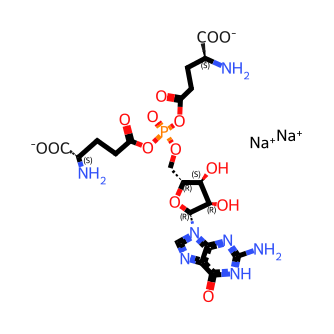 Nc1nc2c(ncn2[C@@H]2O[C@H](COP(=O)(OC(=O)CC[C@H](N)C(=O)[O-])OC(=O)CC[C@H](N)C(=O)[O-])[C@@H](O)[C@H]2O)c(=O)[nH]1.[Na+].[Na+]